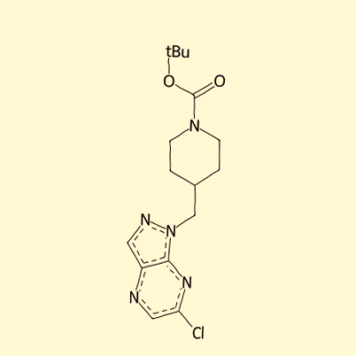 CC(C)(C)OC(=O)N1CCC(Cn2ncc3ncc(Cl)nc32)CC1